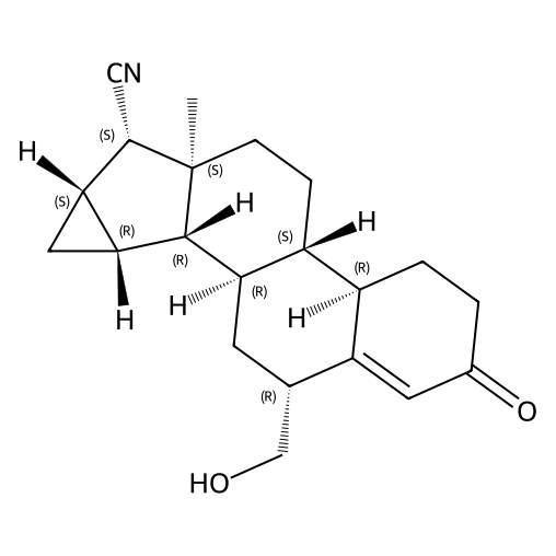 C[C@]12CC[C@H]3[C@@H](C[C@@H](CO)C4=CC(=O)CC[C@@H]43)[C@@H]1[C@@H]1C[C@@H]1[C@@H]2C#N